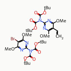 C=Cc1c(OC)nc(N(C(=O)OC(C)(C)C)C(=O)OC(C)(C)C)nc1OC.COc1nc(N(C(=O)OC(C)(C)C)C(=O)OC(C)(C)C)nc(OC)c1Br